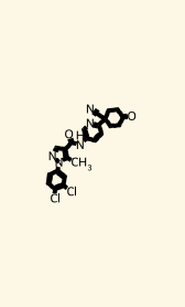 Cc1c(C(=O)Nc2ccc(C3(C#N)CCC(=O)CC3)nc2)cnn1-c1ccc(Cl)c(Cl)c1